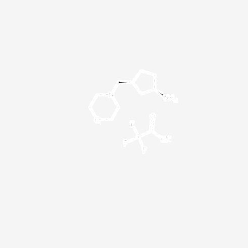 N[C@@H]1CC[C@H](CN2CCOCC2)C1.O=C(O)C(F)(F)F